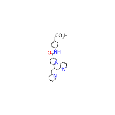 O=C(O)Cc1ccc(NC(=O)c2ccc(C(Cc3ccccn3)Cc3ccccn3)nc2)cc1